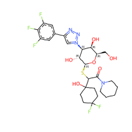 O=C(C(S[C@@H]1O[C@H](CO)[C@H](O)[C@H](n2cc(-c3cc(F)c(F)c(F)c3)nn2)[C@H]1O)C1(O)CCC(F)(F)CC1)N1CCCCC1